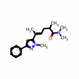 C/C(=C\CC(C)C(=O)N(C)C)c1cc(-c2ccccc2)nn1C